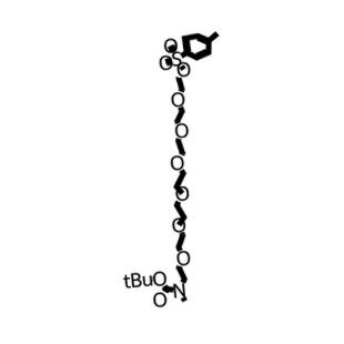 Cc1ccc(S(=O)(=O)OCCOCCOCCOCCOCCOCCOCCN(C)C(=O)OC(C)(C)C)cc1